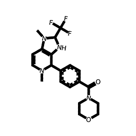 CN1C=CC2=C(NC(C(F)(F)F)N2C)C1c1ccc(C(=O)N2CCOCC2)cc1